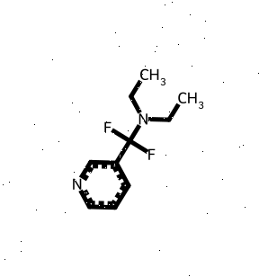 CCN(CC)C(F)(F)c1cccnc1